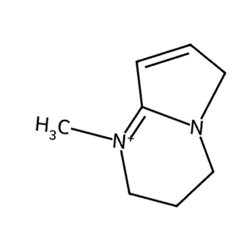 C[N+]1=C2C=CCN2CCC1